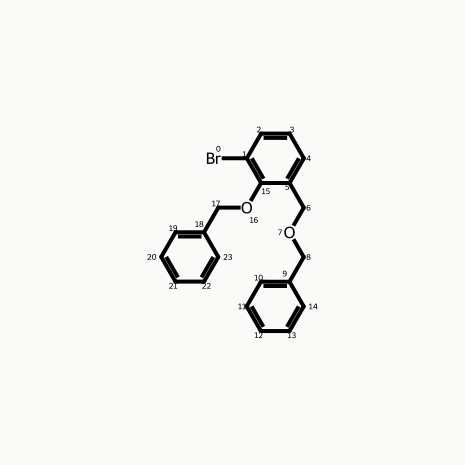 Brc1cccc(COCc2ccccc2)c1OCc1ccccc1